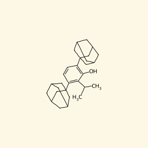 CC(C)c1c(C23CC4CC(CC(C4)C2)C3)ccc(C23CC4CC(CC(C4)C2)C3)c1O